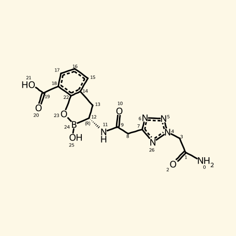 NC(=O)Cn1nnc(CC(=O)N[C@H]2Cc3cccc(C(=O)O)c3OB2O)n1